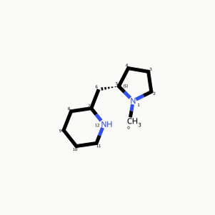 CN1CCC[C@H]1CC1CCCCN1